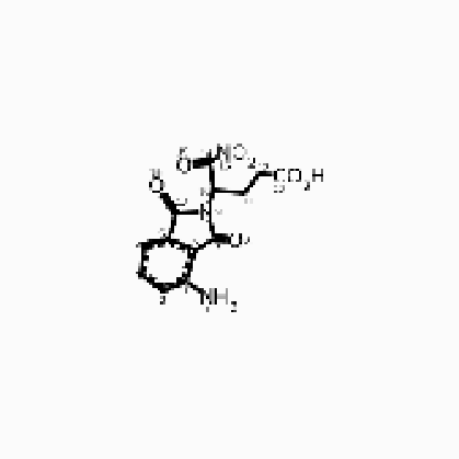 Nc1cccc2c1C(=O)N(C(CCC(=O)O)C(=O)[N+](=O)[O-])C2=O